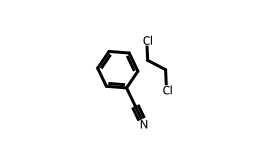 ClCCCl.N#Cc1ccccc1